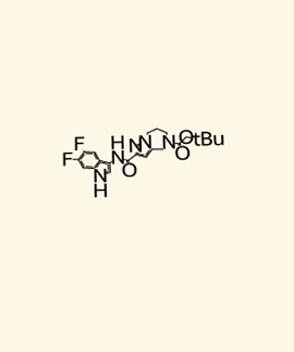 CC(C)(C)OC(=O)N1CCCn2nc(C(=O)Nc3c[nH]c4cc(F)c(F)cc34)cc2C1